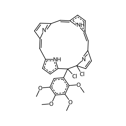 COc1cc(C2(Cl)c3ccc([nH]3)C=C3C=CC(=N3)C=c3ccc([nH]3)=CC3=NC2(Cl)C=C3)c(OC)c(OC)c1OC